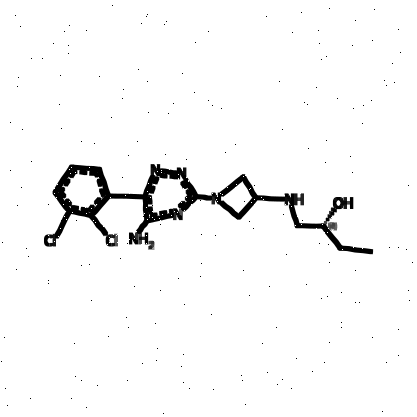 CC[C@@H](O)CNC1CN(c2nnc(-c3cccc(Cl)c3Cl)c(N)n2)C1